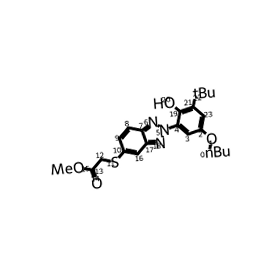 CCCCOc1cc(-n2nc3ccc(SCC(=O)OC)cc3n2)c(O)c(C(C)(C)C)c1